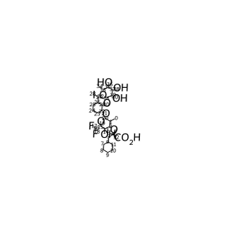 CC1C(O[C@@H](CC2CCCCC2)C(=O)O)[C@@H](O)[C@H](C(F)F)O[C@H]1O[C@@H]1CCCC(CI)[C@H]1OC1O[C@@H](C)C(O)[C@H](O)[C@@H]1O